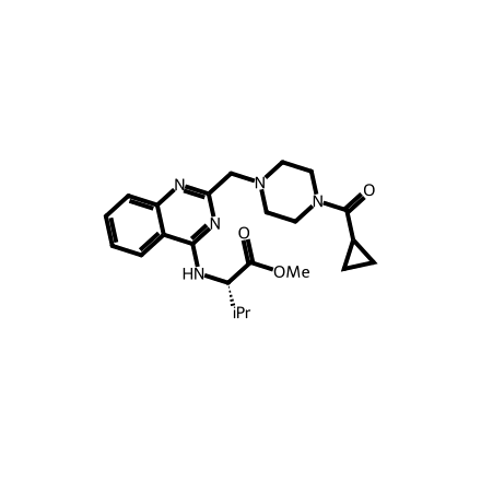 COC(=O)[C@@H](Nc1nc(CN2CCN(C(=O)C3CC3)CC2)nc2ccccc12)C(C)C